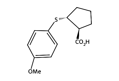 COc1ccc(S[C@@H]2CCC[C@H]2C(=O)O)cc1